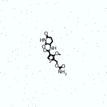 COc1c(C(=O)NC2CCC(=O)NC2=O)csc1COC(N)=O